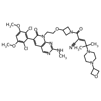 CNc1ncc2cc(-c3c(Cl)c(OC)cc(OC)c3Cl)c(=O)n(CCOC3CN(C(=O)C(C#N)=CC(C)(C)N4CCN(C5COC5)CC4)C3)c2n1